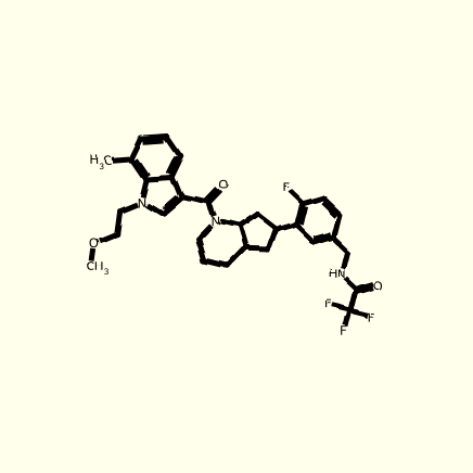 COCCn1cc(C(=O)N2CCCC3CC(c4cc(CNC(=O)C(F)(F)F)ccc4F)CC32)c2cccc(C)c21